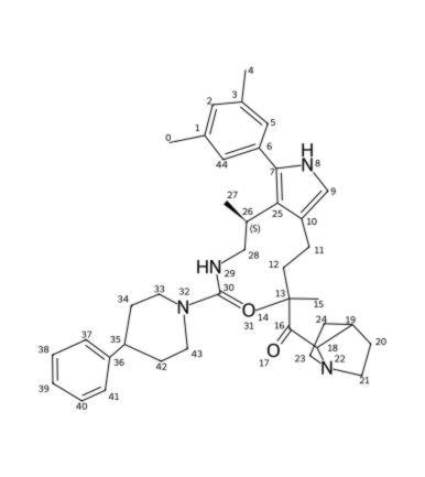 Cc1cc(C)cc(-c2[nH]cc(CCC(C)(C)C(=O)C3C4CCN3CC4)c2[C@H](C)CNC(=O)N2CCC(c3ccccc3)CC2)c1